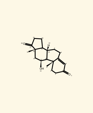 C[C@]12CCC(=O)C=C1CC[C@@H]1C2[C@@H](O)C[C@]2(C)C(=O)CCC12